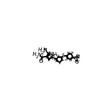 NC(=O)c1cc(-c2cccc(Sc3ccc([N+](=O)[O-])cc3)c2)[nH]c1N